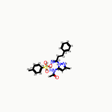 CC(=O)Nc1cc(C)nn1/C(CCc1ccccc1)=N\OS(=O)(=O)c1ccc(C)cc1